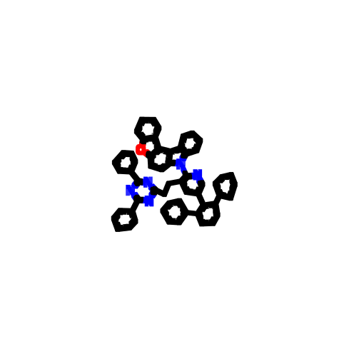 c1ccc(-c2nc(CCc3cc(-c4c(-c5ccccc5)cccc4-c4ccccc4)cnc3-n3c4ccccc4c4c5c(ccc43)oc3ccccc35)nc(-c3ccccc3)n2)cc1